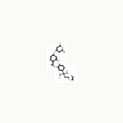 NC(=O)C(CO)(Cc1nccs1)c1ccc2c(c1)NC(=O)c1ccc(Nc3cc(F)nc(F)c3)cc1N2